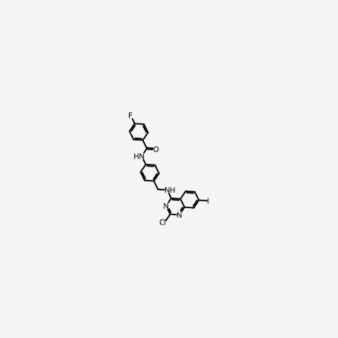 O=C(Nc1ccc(CNc2nc(Cl)nc3cc(I)ccc23)cc1)c1ccc(F)cc1